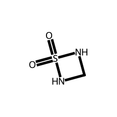 O=S1(=O)NCN1